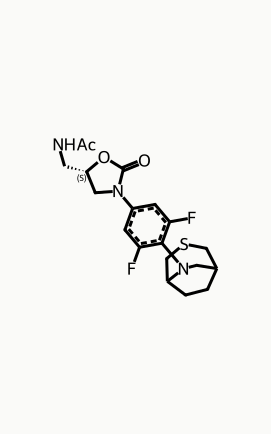 CC(=O)NC[C@H]1CN(c2cc(F)c(N3CC4CCC3CSC4)c(F)c2)C(=O)O1